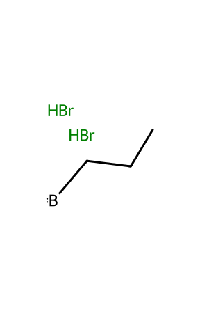 Br.Br.[B]CCC